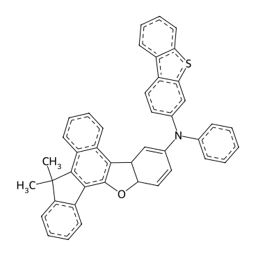 CC1(C)c2ccccc2-c2c3c(c4ccccc4c21)C1C=C(N(c2ccccc2)c2ccc4c(c2)sc2ccccc24)C=CC1O3